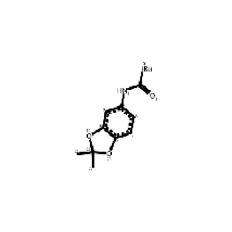 CCC(C)C(=O)Nc1ccc2c(c1)OC(C)(C)O2